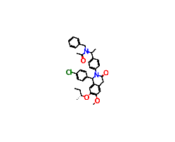 CC[C@@H](C)Oc1cc2c(cc1OC)CC(=O)N(c1ccc(C(C)N(Cc3ccccc3)C(C)=O)cc1)C2c1ccc(Cl)cc1